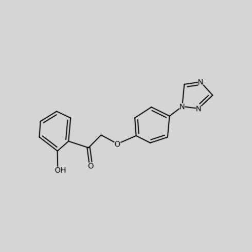 O=C(COc1ccc(-n2cncn2)cc1)c1ccccc1O